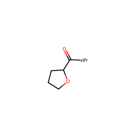 CCCC(=O)C1CCCO1